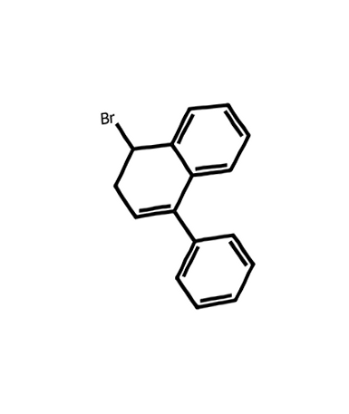 BrC1CC=C(c2ccccc2)c2ccccc21